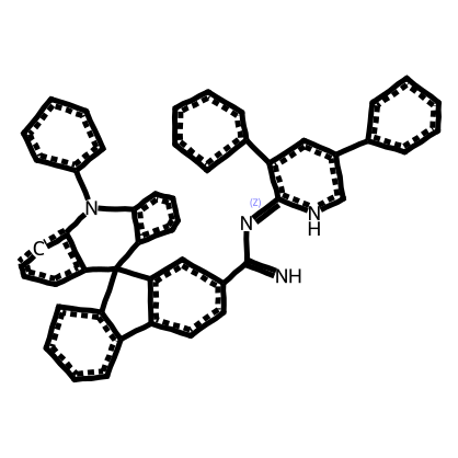 N=C(/N=c1\[nH]cc(-c2ccccc2)cc1-c1ccccc1)c1ccc2c(c1)C1(c3ccccc3-2)c2ccccc2N(c2ccccc2)c2ccccc21